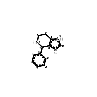 c1ccc(C2NCCc3[nH]cnc32)cc1